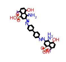 Nc1c(N=Nc2ccc(-c3ccc(N=Nc4cc(S(=O)(=O)O)c5c(I)ccc(O)c5c4N)cc3)cc2)cc(S(=O)(=O)O)c2c(I)ccc(O)c12